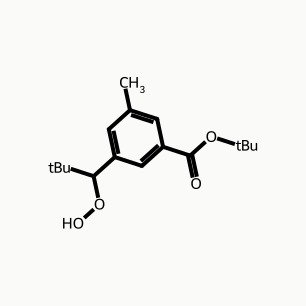 Cc1cc(C(=O)OC(C)(C)C)cc(C(OO)C(C)(C)C)c1